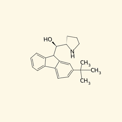 CC(C)(C)c1ccc2c(c1)C([C@@H](O)[C@@H]1CCCN1)c1ccccc1-2